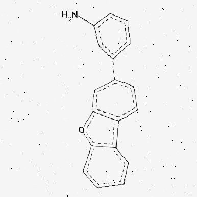 Nc1cccc(-c2ccc3c(c2)oc2ccccc23)c1